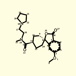 COc1ccc2c(c1)[C@]1(CC[C@H](C(=O)N(C)CCN3CCCC3)CC1)OC2=O